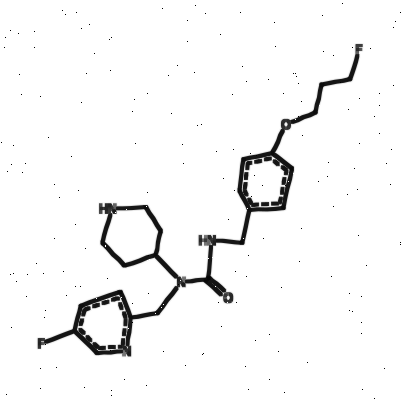 O=C(NCc1ccc(OCCCF)cc1)N(Cc1ccc(F)cn1)C1CCNCC1